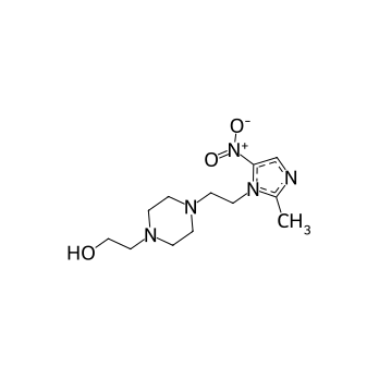 Cc1ncc([N+](=O)[O-])n1CCN1CCN(CCO)CC1